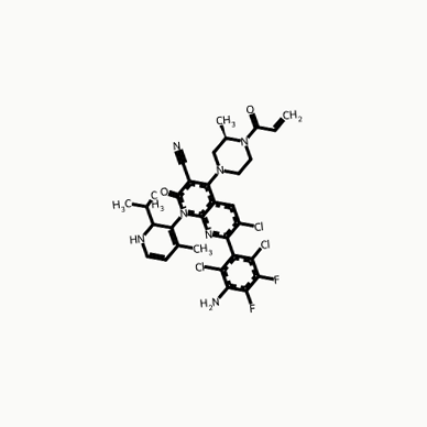 C=CC(=O)N1CCN(c2c(C#N)c(=O)n(C3=C(C)C=CNC3C(C)C)c3nc(-c4c(Cl)c(N)c(F)c(F)c4Cl)c(Cl)cc23)C[C@H]1C